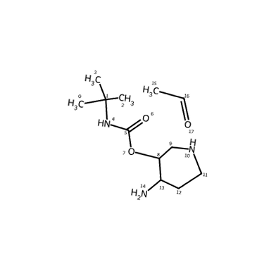 CC(C)(C)NC(=O)OC1CNCCC1N.CC=O